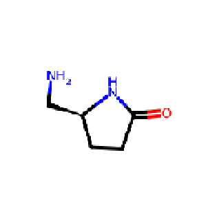 NC[C@@H]1CCC(=O)N1